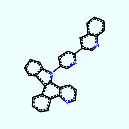 c1ccc2ncc(-c3ccc(-n4c5ccccc5c5c6ccccc6c6ncccc6c54)cn3)cc2c1